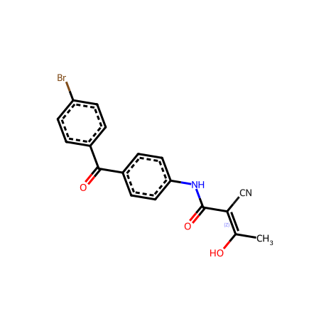 C/C(O)=C(\C#N)C(=O)Nc1ccc(C(=O)c2ccc(Br)cc2)cc1